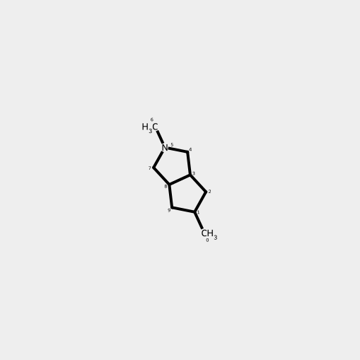 CC1CC2CN(C)CC2C1